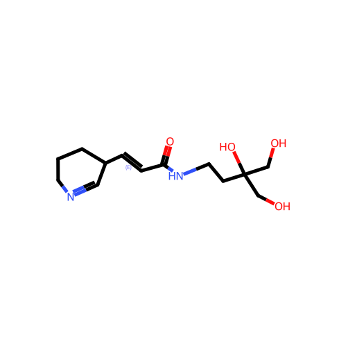 O=C(/C=C/C1C=NCCC1)NCCC(O)(CO)CO